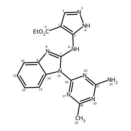 CCOC(=O)c1cn[nH]c1Nc1nc2ccccc2n1-c1nc(C)nc(N)n1